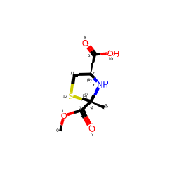 COC(=O)[C@@]1(C)N[C@H](C(=O)O)CS1